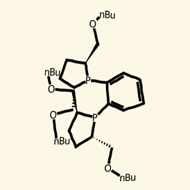 CCCCOC[C@@H]1CC[C@@H](COCCCC)P1c1ccccc1P1[C@H](COCCCC)CC[C@H]1COCCCC